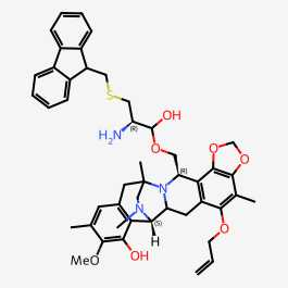 C=CCOc1c(C)c2c(c3c1CC1[C@@H]4c5c(cc(C)c(OC)c5O)CC(C)(CN4C)N1[C@H]3COC(O)[C@@H](N)CSCC1c3ccccc3-c3ccccc31)OCO2